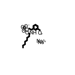 CCCCCCCC(=O)NC(COP(=O)([O-])[O-])c1cccc(COC)c1.[Na+].[Na+]